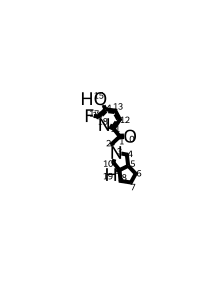 O=C(CN1CC2CCC[C@@H]2C1)c1ccc(O)c(F)n1